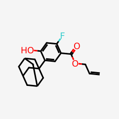 C=CCOC(=O)c1cc(C23CC4CC(CC(C4)C2)C3)c(O)cc1F